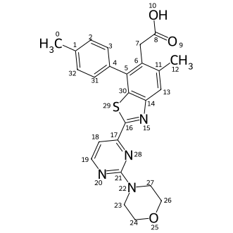 Cc1ccc(-c2c(CC(=O)O)c(C)cc3nc(-c4ccnc(N5CCOCC5)n4)sc23)cc1